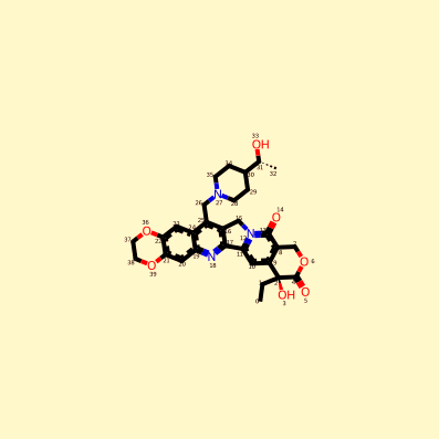 CC[C@@]1(O)C(=O)OCc2c1cc1n(c2=O)Cc2c-1nc1cc3c(cc1c2CN1CCC([C@@H](C)O)CC1)OCCO3